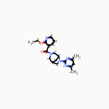 Cc1cc(C)nc(N2CC3CC2CN(C(=O)c2cccnc2OCC(F)(F)F)C3)n1